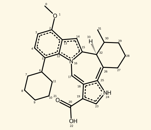 COc1ccc(C2CCCCC2)c2c1cc1n2C=c2c(C(=O)O)c[nH]c2=C2CCCC(C)[C@@H]21